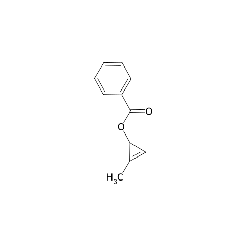 CC1=CC1OC(=O)c1ccccc1